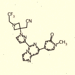 Cn1ccc(-c2cc3nccn3c(-c3ccn(C4(CC#N)CN(CC(F)(F)F)C4)n3)n2)cc1=O